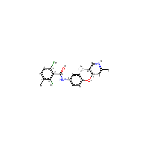 Cc1cc(Oc2ccc(NC(=O)c3c(F)ccc(C)c3F)cc2)c(C(F)(F)F)cn1